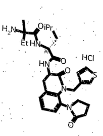 CCC(C)(N)C(=O)N[C@H](CC(C)C)C(=O)NC1Cc2cccc(N3CCCC3=O)c2N(Cc2ccsc2)C1=O.Cl